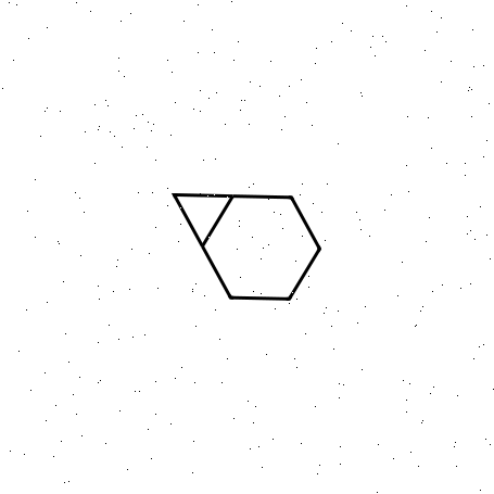 C1CCC2CC2C1